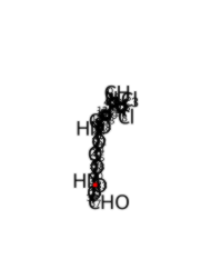 CN1Cc2c(Cl)cc(Cl)cc2C(c2ccc(S(=O)(=O)NCCOCCOCCOCCNC(=O)COCC=O)cc2)C1